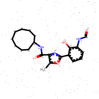 Cc1oc(-c2cccc(NC=O)c2O)nc1C(=O)NC1CCCCCCCC1